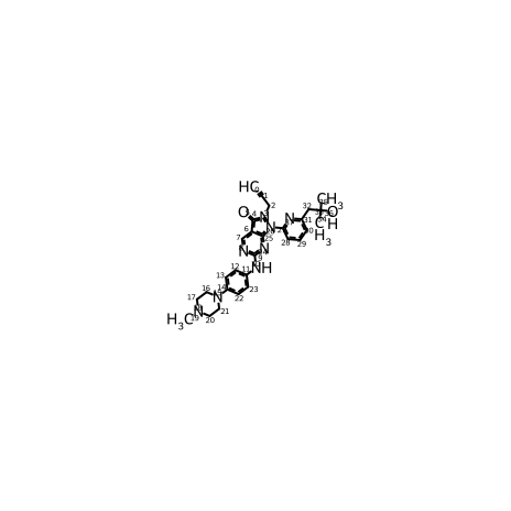 C#CCn1c(=O)c2cnc(Nc3ccc(N4CCN(C)CC4)cc3)nc2n1-c1cccc(CC(C)(C)O)n1